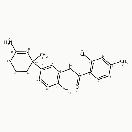 Cc1ccc(C(=O)Nc2cc(C3(C)CCSC(N)=N3)ccc2F)c(Cl)c1